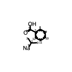 C[CH](C)[Na].O=C(O)c1ccccc1